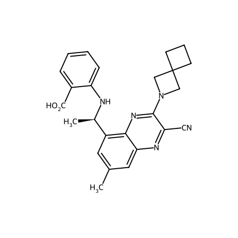 Cc1cc([C@@H](C)Nc2ccccc2C(=O)O)c2nc(N3CC4(CCC4)C3)c(C#N)nc2c1